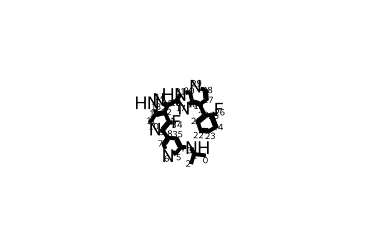 CC(C)Nc1cncc(-c2ncc3[nH]nc(-c4nc5c(-c6ccccc6F)ccnc5[nH]4)c3c2F)c1